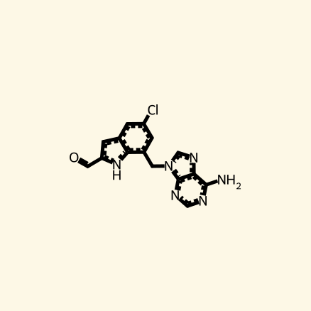 Nc1ncnc2c1ncn2Cc1cc(Cl)cc2cc(C=O)[nH]c12